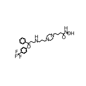 O=C(CCCN1CCN(CCCNCC[C@@H](Oc2ccc(C(F)(F)F)cc2)c2ccccc2)CC1)NO